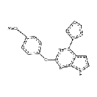 COc1ccc(Oc2nc(-c3cccs3)c3cc[nH]c3n2)cc1